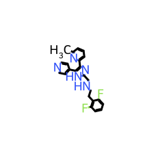 Cc1cccc(-c2nc(CNCCc3c(F)cccc3F)[nH]c2-c2ccncc2)n1